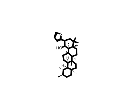 C[C@@H]1[C@H]2[C@H]3CC[C@@H]4[C@@]5(C)C(O)C(c6cccs6)CC(C)(C)[C@@H]5CC[C@@]4(C)[C@]3(C)CC[C@@]2(C)CC[C@H]1C